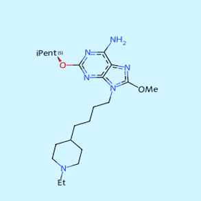 CCC[C@H](C)Oc1nc(N)c2nc(OC)n(CCCCC3CCN(CC)CC3)c2n1